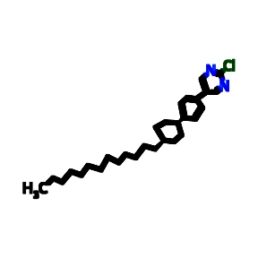 CCCCCCCCCCCCC[C@H]1CC[C@H](c2ccc(-c3cnc(Cl)nc3)cc2)CC1